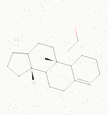 C[C@@]12CCC[C@H]1[C@@H]1CCC3=CCCC[C@]3(CCO)[C@H]1CC2